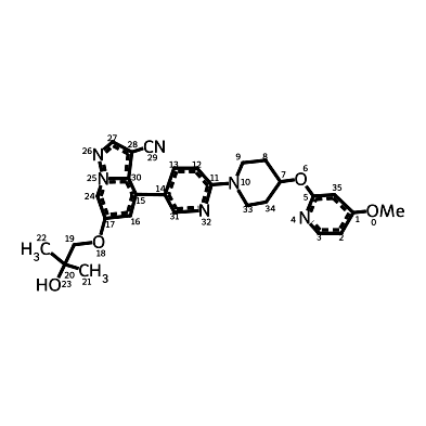 COc1ccnc(OC2CCN(c3ccc(-c4cc(OCC(C)(C)O)cn5ncc(C#N)c45)cn3)CC2)c1